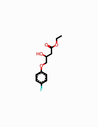 CCOC(=O)CC(O)COc1ccc(F)cc1